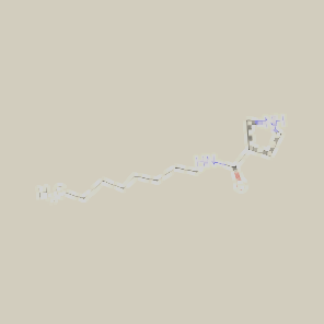 CCCCCCCCNC(=O)c1cc[nH]c1